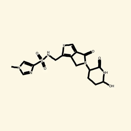 Cn1cnc(S(=O)(=O)NCc2scc3c2CN(C2CCC(O)NC2=O)C3=O)c1